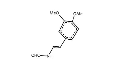 COc1ccc(/C=C/NC=O)cc1OC